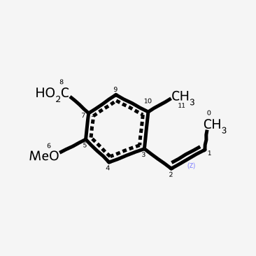 C/C=C\c1cc(OC)c(C(=O)O)cc1C